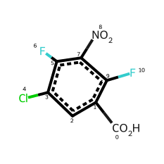 O=C(O)c1cc(Cl)c(F)c([N+](=O)[O-])c1F